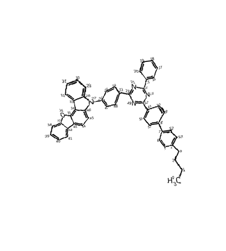 CCCCc1ccc(-c2ccc(-c3nc(-c4ccccc4)nc(-c4ccc(-n5c6ccccc6c6c7oc8ccccc8c7ccc65)cc4)n3)cc2)cc1